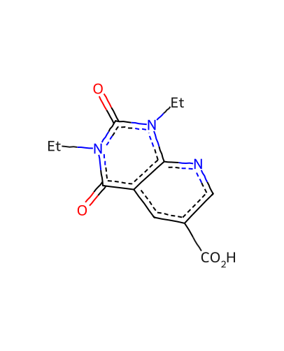 CCn1c(=O)c2cc(C(=O)O)cnc2n(CC)c1=O